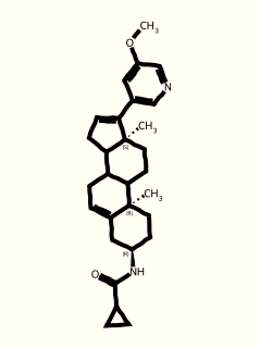 COc1cncc(C2=CCC3C4CC=C5C[C@H](NC(=O)C6CC6)CC[C@]5(C)C4CC[C@]23C)c1